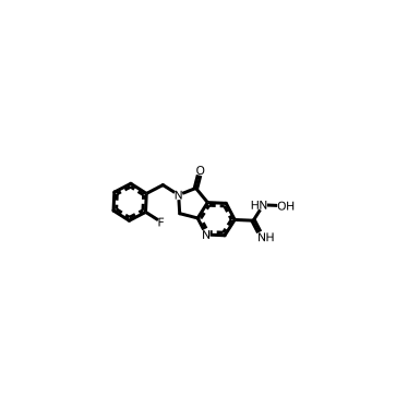 N=C(NO)c1cnc2c(c1)C(=O)N(Cc1ccccc1F)C2